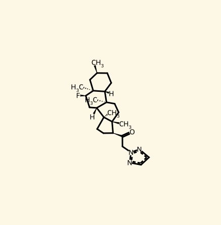 C[C@H]1CC[C@H]2[C@](C)(C1)[C@H](F)C[C@@H]1[C@]2(C)CC[C@]2(C)[C@@H](C(=O)Cn3nccn3)CC[C@@]12C